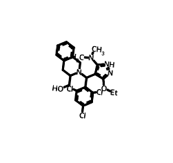 CCOc1n[nH]c(N(C)C)c1C(c1c(Cl)cc(Cl)cc1Cl)N1Cc2ccccc2CC1CO